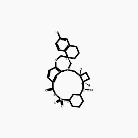 O=C1NS(=O)(=O)[C@H]2CCCC(C2)[C@H](O)[C@@H]2CC[C@H]2CN2C[C@@]3(CCCc4cc(Cl)ccc43)COc3ccc1cc32